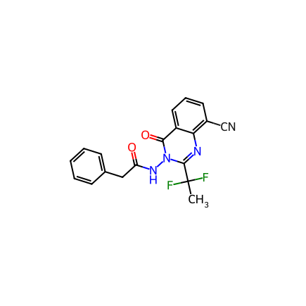 CC(F)(F)c1nc2c(C#N)cccc2c(=O)n1NC(=O)Cc1ccccc1